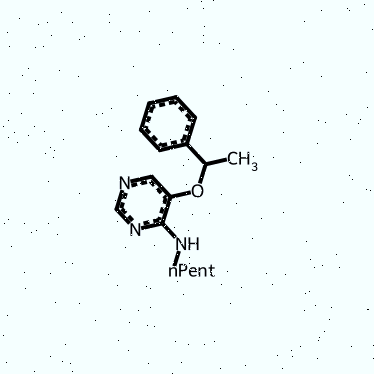 CCCCCNc1ncncc1OC(C)c1ccccc1